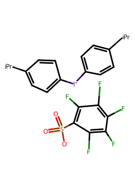 CC(C)c1ccc([I+]c2ccc(C(C)C)cc2)cc1.O=S(=O)([O-])c1c(F)c(F)c(F)c(F)c1F